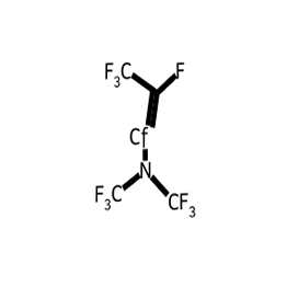 F[C](=[Cf][N](C(F)(F)F)C(F)(F)F)C(F)(F)F